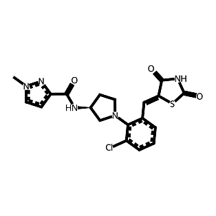 Cn1ccc(C(=O)N[C@H]2CCN(c3c(Cl)cccc3/C=C3\SC(=O)NC3=O)C2)n1